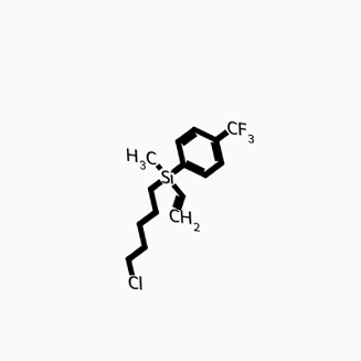 C=C[Si](C)(CCCCCCl)c1ccc(C(F)(F)F)cc1